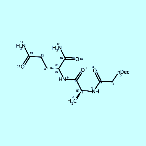 CCCCCCCCCCCC(=O)N[C@@H](C)C(=O)N[C@H](CCC(N)=O)C(N)=O